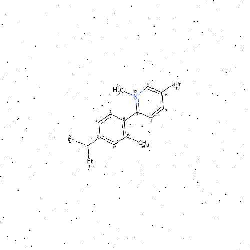 CCC(CC)c1ccc(-c2ccc(C(C)C)c[n+]2C)c(C)c1